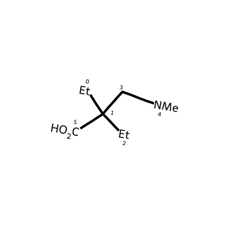 CCC(CC)(CNC)C(=O)O